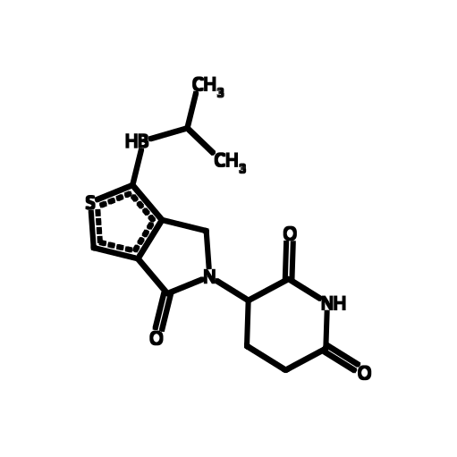 CC(C)Bc1scc2c1CN(C1CCC(=O)NC1=O)C2=O